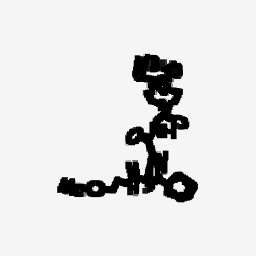 CCCCOC(=O)N1CCN(C(=O)CNC(=O)c2nc(-c3ccccc3)sc2NCCCOC)CC1